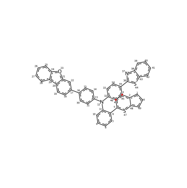 c1cc2ccc(-c3ccccc3N(c3ccc(-c4ccc5c(c4)oc4ccccc45)cc3)c3ccc(-c4nc5ccccc5s4)cc3)sc-2c1